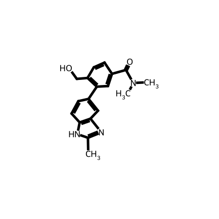 Cc1nc2cc(-c3cc(C(=O)N(C)C)ccc3CO)ccc2[nH]1